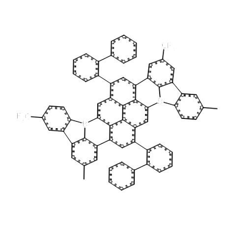 Cc1ccc2c(c1)-c1cc(C(F)(F)F)cc3c1B2c1cc2c(-c4ccccc4-c4ccccc4)cc4c5c(cc6c(-c7ccccc7-c7ccccc7)cc-3c1c6c25)B1c2ccc(C(F)(F)F)cc2-c2cc(C)cc-4c21